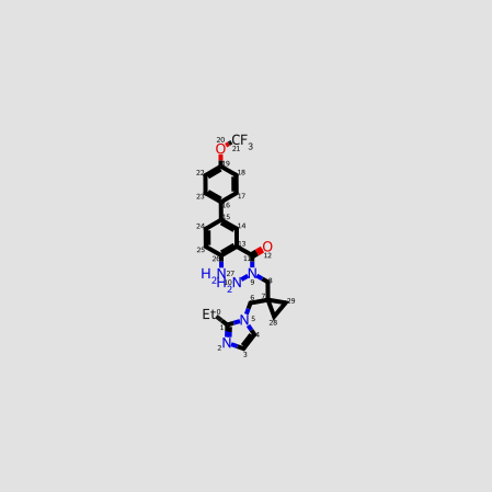 CCc1nccn1CC1(CN(N)C(=O)c2cc(-c3ccc(OC(F)(F)F)cc3)ccc2N)CC1